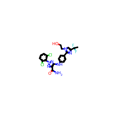 CC(F)(F)c1cn(CCO)c(-c2ccc(Nc3nn(-c4c(Cl)cccc4Cl)nc3C(N)=O)cc2)n1